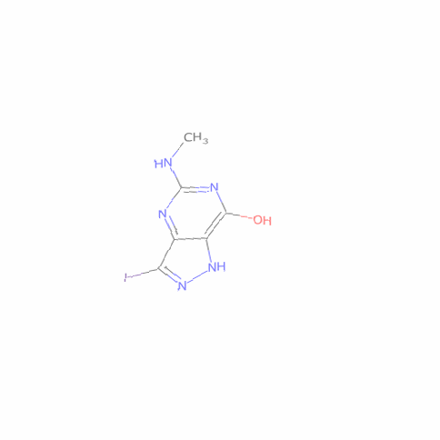 CNc1nc(O)c2[nH]nc(I)c2n1